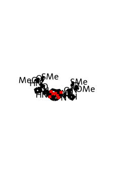 COC(=O)N[C@@H](CCSC)C(=O)C1C2CCC(C2)[C@H]1c1nc2cc(-c3cc4ccc3CCc3ccc(c(-c5ccc6[nH]c([C@@H]7C8CCC(C8)N7C(=O)[C@H](CCSC)NC(=O)OC)nc6c5)c3)CC4)ccc2[nH]1